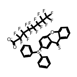 O=C([O-])C(F)(F)C(F)(F)C(F)(F)C(F)(F)C(F)(F)C(F)(F)C(F)(F)F.S=c1c2ccccc2oc2ccc([S+](c3ccccc3)c3ccccc3)cc12